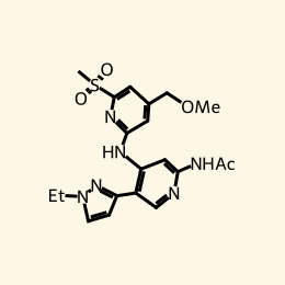 CCn1ccc(-c2cnc(NC(C)=O)cc2Nc2cc(COC)cc(S(C)(=O)=O)n2)n1